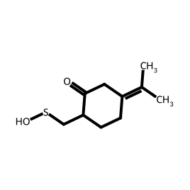 CC(C)=C1CCC(CSO)C(=O)C1